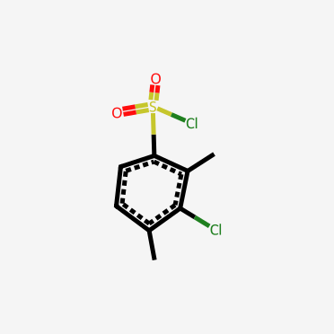 Cc1ccc(S(=O)(=O)Cl)c(C)c1Cl